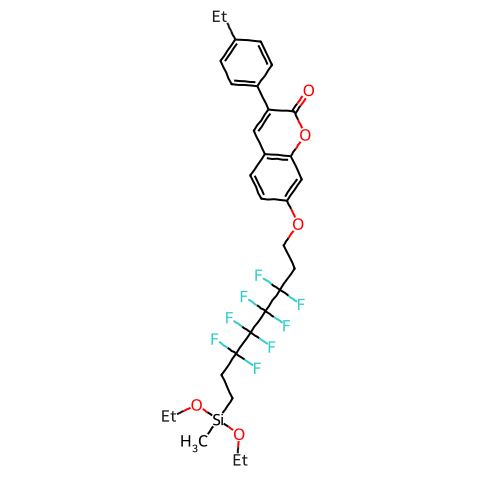 CCO[Si](C)(CCC(F)(F)C(F)(F)C(F)(F)C(F)(F)CCOc1ccc2cc(-c3ccc(CC)cc3)c(=O)oc2c1)OCC